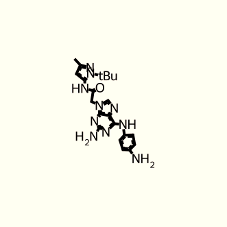 Cc1cc(NC(=O)Cn2cnc3c(Nc4ccc(N)cc4)nc(N)nc32)n(C(C)(C)C)n1